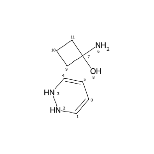 C1=CNNC=C1.NC1(O)CCC1